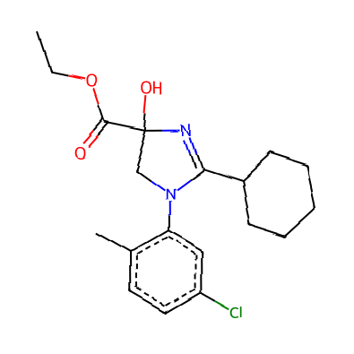 CCOC(=O)C1(O)CN(c2cc(Cl)ccc2C)C(C2CCCCC2)=N1